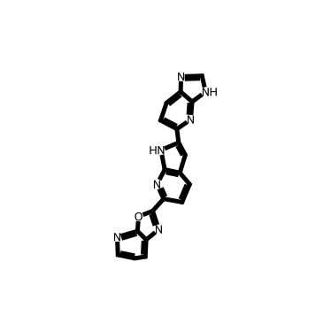 c1cnc2oc(-c3ccc4cc(-c5ccc6nc[nH]c6n5)[nH]c4n3)nc2c1